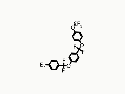 CCc1ccc(C(F)(F)Oc2ccc(C(F)(F)Oc3ccc(OC(F)(F)F)cc3)cc2)cc1